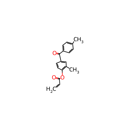 C=CC(=O)Oc1ccc(C(=O)c2ccc(C)cc2)cc1C